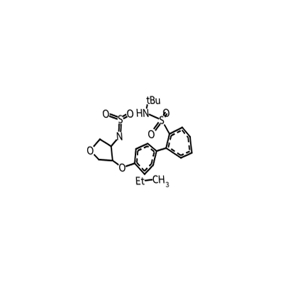 CC(C)(C)NS(=O)(=O)c1ccccc1-c1ccc(OC2COCC2N=S(=O)=O)cc1.CCC